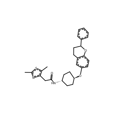 Cc1nc(CC(=O)N[C@H]2CC[C@H](Oc3ccc4c(c3)CCC(c3ccccc3)O4)CC2)c(C)s1